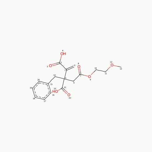 C=C(C(=O)O)C(CC(=O)OCCOC)(Cc1ccccc1)C(=O)O